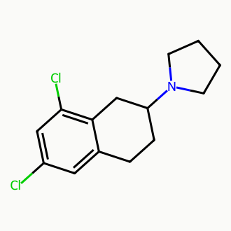 Clc1cc(Cl)c2c(c1)CCC(N1CCCC1)C2